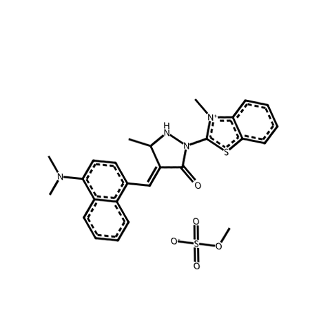 CC1NN(c2sc3ccccc3[n+]2C)C(=O)/C1=C/c1ccc(N(C)C)c2ccccc12.COS(=O)(=O)[O-]